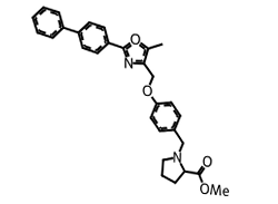 COC(=O)C1CCCN1Cc1ccc(OCc2nc(-c3ccc(-c4ccccc4)cc3)oc2C)cc1